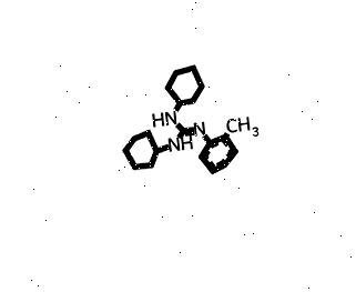 Cc1ccccc1N=C(NC1CCCCC1)NC1CCCCC1